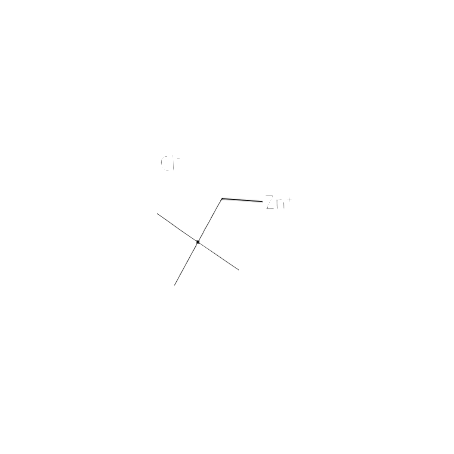 CC(C)(C)[CH2][Zn+].[Cl-]